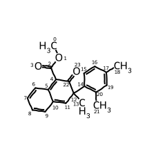 COC(=O)C1=c2ccccc2=CC(C)(c2ccc(C)cc2C)C1=O